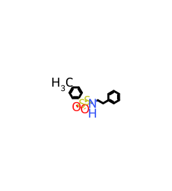 Cc1ccc(S(=O)(=O)SNCCc2ccccc2)cc1